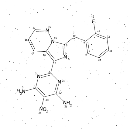 Nc1nc(-c2nc(Sc3ccccc3F)n3ncccc23)nc(N)c1[N+](=O)[O-]